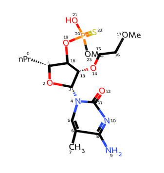 CCC[C@H]1O[C@@H](n2cc(C)c(N)nc2=O)[C@@H](OCCOC)C1OP(O)(=S)OC